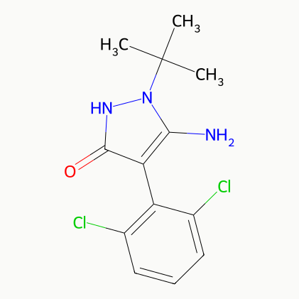 CC(C)(C)n1[nH]c(=O)c(-c2c(Cl)cccc2Cl)c1N